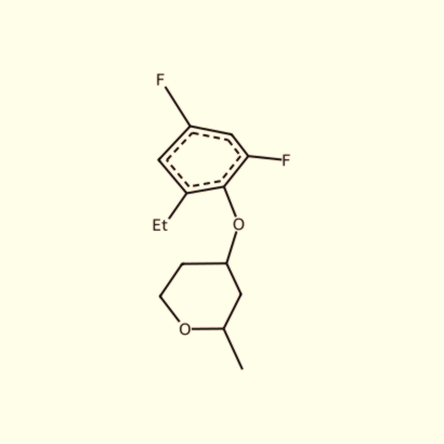 CCc1cc(F)cc(F)c1OC1CCOC(C)C1